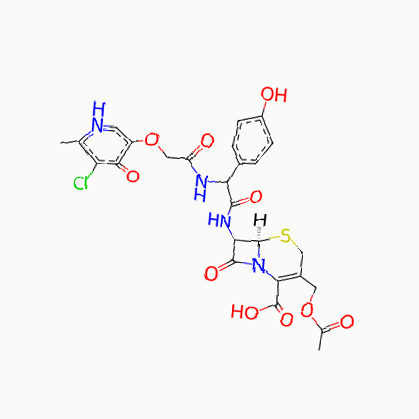 CC(=O)OCC1=C(C(=O)O)N2C(=O)C(NC(=O)C(NC(=O)COc3c[nH]c(C)c(Cl)c3=O)c3ccc(O)cc3)[C@H]2SC1